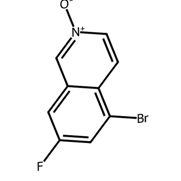 [O-][n+]1ccc2c(Br)cc(F)cc2c1